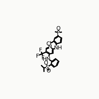 CC(C)S(=O)(=O)c1ccccc1Nc1cc(Nc2ccc(P(C)(C)=O)cc2Cl)ncc1C(F)(F)F